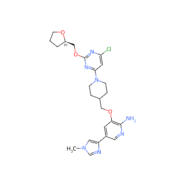 Cn1cnc(-c2cnc(N)c(OCC3CCN(c4cc(Cl)nc(OC[C@H]5CCCO5)n4)CC3)c2)c1